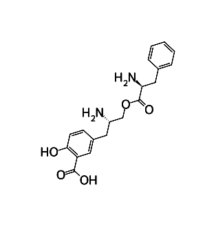 N[C@H](COC(=O)[C@@H](N)Cc1ccccc1)Cc1ccc(O)c(C(=O)O)c1